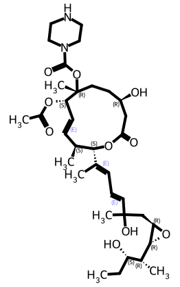 CC[C@H](O)[C@@H](C)[C@H]1O[C@@H]1CC(C)(O)/C=C/C=C(\C)[C@H]1OC(=O)C[C@H](O)CC[C@@](C)(OC(=O)N2CCNCC2)[C@@H](OC(C)=O)/C=C/[C@@H]1C